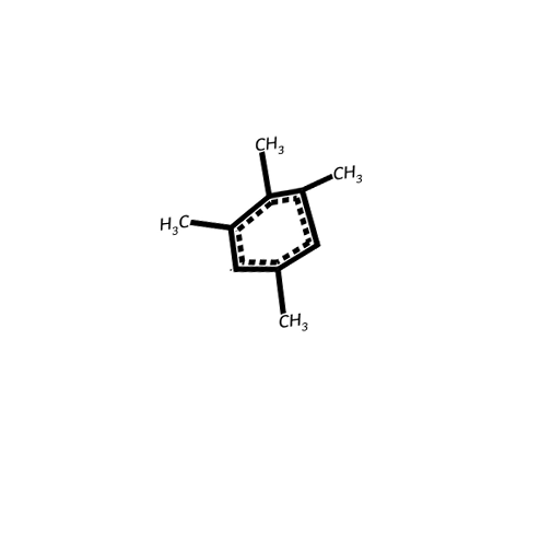 Cc1[c]c(C)c(C)c(C)c1